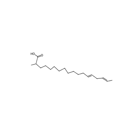 CC=CCC=CCCCCCCCCCCC(C)C(=O)O